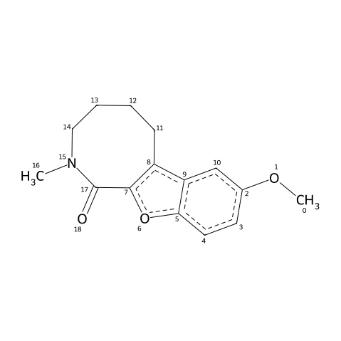 COc1ccc2oc3c(c2c1)CCCCN(C)C3=O